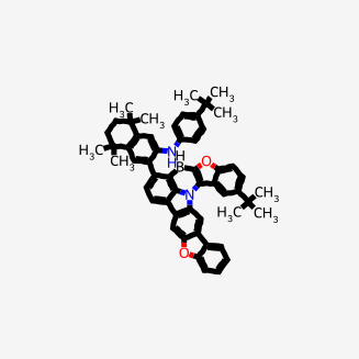 CC(C)(C)c1ccc(Nc2cc3c(cc2-c2ccc4c5cc6oc7ccccc7c6cc5n5c4c2Bc2oc4ccc(C(C)(C)C)cc4c2-5)C(C)(C)CCC3(C)C)cc1